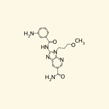 COCCCn1c(NC(=O)c2cccc(N)c2)nc2cc(C(N)=O)cnc21